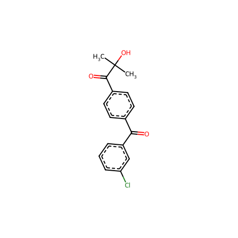 CC(C)(O)C(=O)c1ccc(C(=O)c2cccc(Cl)c2)cc1